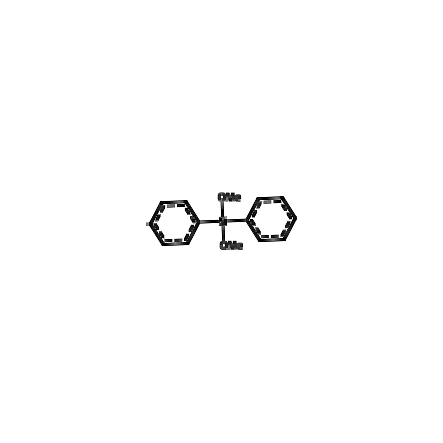 CO[Si](OC)(c1cc[c]cc1)c1ccccc1